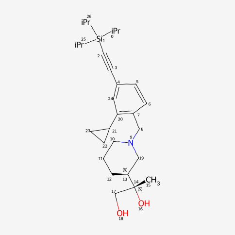 CC(C)[Si](C#Cc1ccc(CN2CCC[C@H]([C@](C)(O)CO)C2)c(C2CC2)c1)(C(C)C)C(C)C